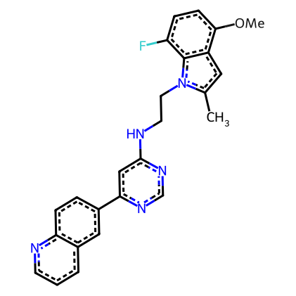 COc1ccc(F)c2c1cc(C)n2CCNc1cc(-c2ccc3ncccc3c2)ncn1